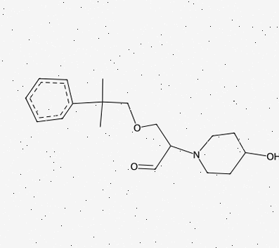 CC(C)(COCC(C=O)N1CCC(O)CC1)c1ccccc1